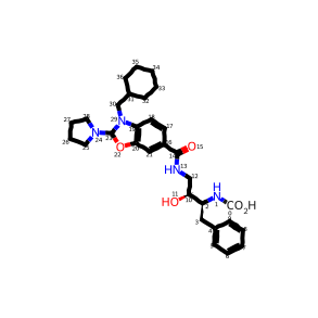 O=C(O)N[C@@H](Cc1ccccc1)[C@@H](O)CNC(=O)c1ccc2c(c1)OC(N1CCCC1)N2CC1CCCCC1